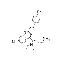 CCN(CC)C(CCC(C)N)c1nc(C=Cc2ccc(Br)cc2)nc2cc(Cl)ccc12